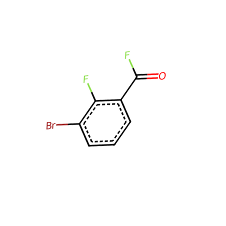 O=C(F)c1cccc(Br)c1F